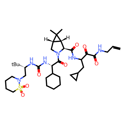 C=CCNC(=O)C(=O)C(CC1CC1)NC(=O)[C@@H]1[C@@H]2[C@H](CN1C(=O)[C@@H](NC(=O)N[C@H](CN1CCCCS1(=O)=O)C(C)(C)C)C1CCCCC1)C2(C)C